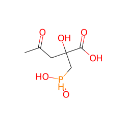 CC(=O)CC(O)(C[PH](=O)O)C(=O)O